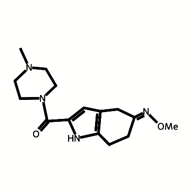 CON=C1CCc2[nH]c(C(=O)N3CCN(C)CC3)cc2C1